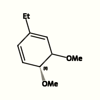 CCC1=CC(OC)[C@H](OC)C=C1